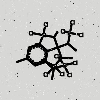 Cc1ccc(C(C(C)[Si](Cl)(Cl)Cl)(C(C)[Si](Cl)(Cl)Cl)C(C)[Si](Cl)(Cl)Cl)c(C(C)[Si](Cl)(Cl)Cl)c1